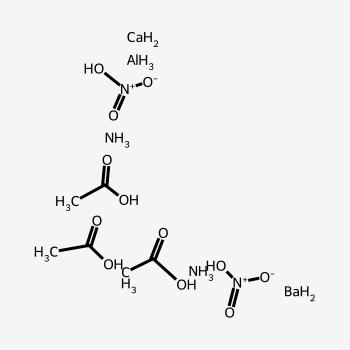 CC(=O)O.CC(=O)O.CC(=O)O.N.N.O=[N+]([O-])O.O=[N+]([O-])O.[AlH3].[BaH2].[CaH2]